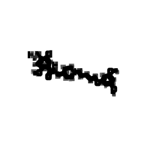 COc1cc(OC)cc(OCCCCCN2CCC(CNC(=O)c3cc(Cl)c(N)cc3OC)CC2)c1